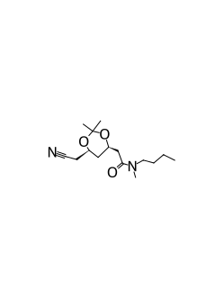 CCCCN(C)C(=O)C[C@H]1C[C@@H](CC#N)OC(C)(C)O1